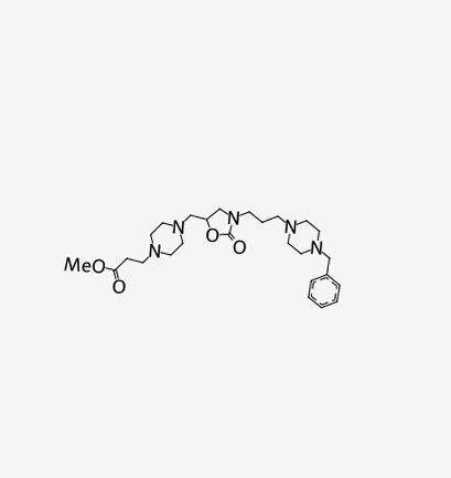 COC(=O)CCN1CCN(CC2CN(CCCN3CCN(Cc4ccccc4)CC3)C(=O)O2)CC1